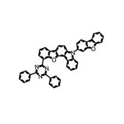 c1ccc(-c2nc(-c3ccccc3)nc(-c3cccc4c3oc3c4ccc4c3c3ccccc3n4-c3ccc4c(c3)oc3ccccc34)n2)cc1